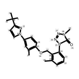 Cc1cc(-n2ccc(C(C)(C)C)n2)ccc1OCc1c(C)cccc1-n1nnn(C)c1=O